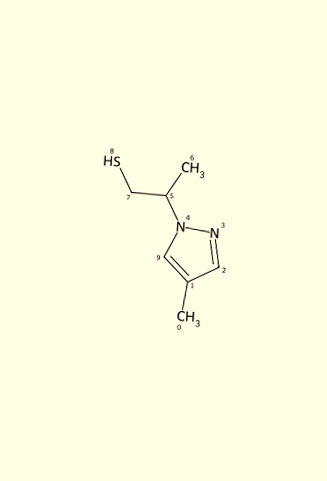 Cc1cnn(C(C)CS)c1